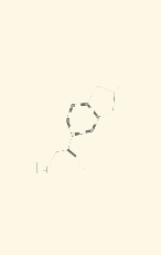 CC1Cc2ccc(C(=O)CBr)cc2C1